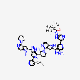 Cc1ccncc1-c1cc2c(-c3cc4c(N5CCCCC5)nccc4[nH]3)n[nH]c2c(C2CCCN(c3nccc4[nH]c(-c5n[nH]c6cnc(-c7cncc(NC(=O)C(C)(C)C)c7)cc56)cc34)C2)n1